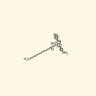 CCCCCCCCCCCCCCCCCC(=O)OCC(O)C1OC(c2ccc(N)cc2)OC2COC(c3ccc(N)cc3)OC21